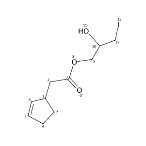 O=C(CC1C=CCC1)OCC(O)CI